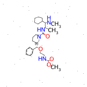 CNC(C1CCCCC1)C(C)NC(=O)N1CCC[C@@H](C(OCCNC(=O)OC)c2ccccc2)C1